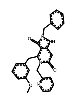 COc1cccc(Cc2c3c(=O)n(Cc4ccccc4)[nH]c3cc(=O)n2Cc2ccccn2)c1